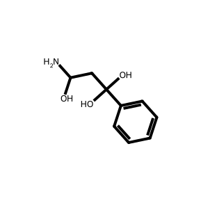 NC(O)CC(O)(O)c1ccccc1